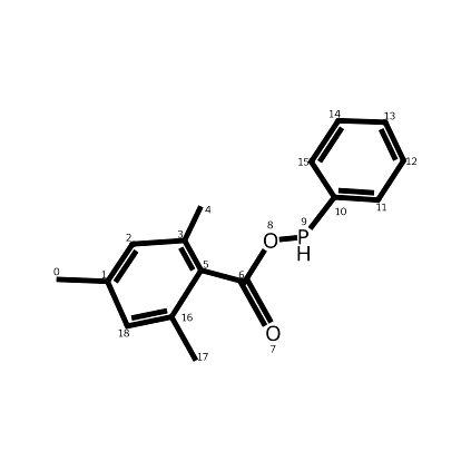 Cc1cc(C)c(C(=O)OPc2ccccc2)c(C)c1